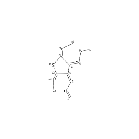 C=C/C=c1/c(=C/CC)/c(=C\C)s/c1=C/C